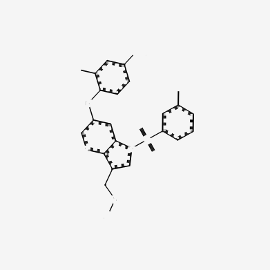 CNCc1cn(S(=O)(=O)c2cccc(F)c2)c2cc(Nc3ccc(C)cc3F)cnc12